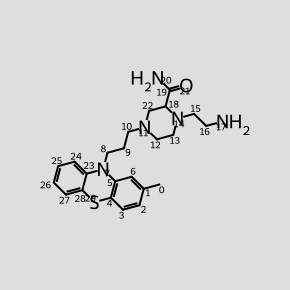 Cc1ccc2c(c1)N(CCCN1CCN(CCN)C(C(N)=O)C1)c1ccccc1S2